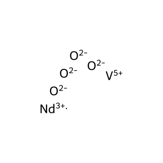 [Nd+3].[O-2].[O-2].[O-2].[O-2].[V+5]